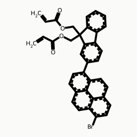 C=CC(=O)OCC1(COC(=O)C=C)c2ccccc2-c2ccc(-c3ccc4ccc5c(Br)ccc6ccc3c4c65)cc21